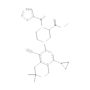 COC(=O)C1CN(c2nc(C3CC3)c3c(c2C#N)CC(C)(C)OC3)CCN1C(=O)c1ccoc1